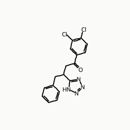 O=C(CC(Cc1ccccc1)c1nnn[nH]1)c1ccc(Cl)c(Cl)c1